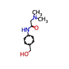 CN(C)CC(=O)Nc1ccc(CO)cc1